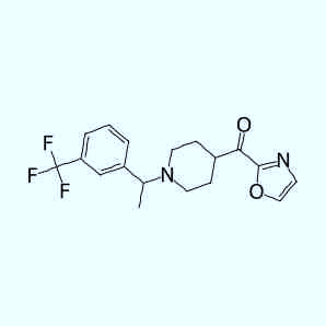 CC(c1cccc(C(F)(F)F)c1)N1CCC(C(=O)c2ncco2)CC1